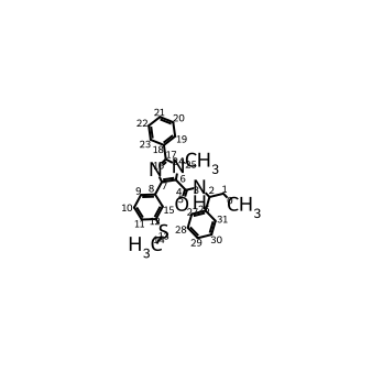 CCC(NC(=O)c1c(-c2cccc(SC)c2)nc(-c2ccccc2)n1C)c1ccccc1